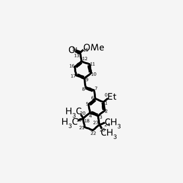 CCc1cc2c(cc1C=Cc1ccc(C(=O)OC)cc1)C(C)(C)CCC2(C)C